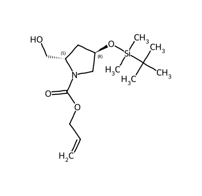 C=CCOC(=O)N1C[C@H](O[Si](C)(C)C(C)(C)C)C[C@H]1CO